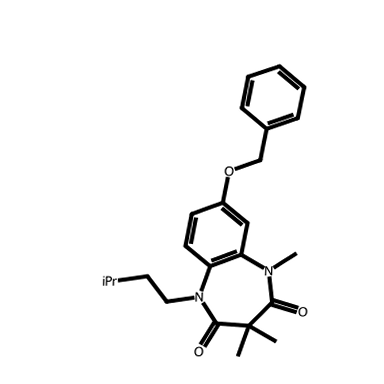 CC(C)CCN1C(=O)C(C)(C)C(=O)N(C)c2cc(OCc3ccccc3)ccc21